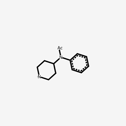 CC(=O)N(c1ccccc1)C1CC[N]CC1